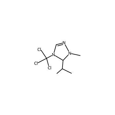 CC(C)C1N(C)N=CN1C(Cl)(Cl)Cl